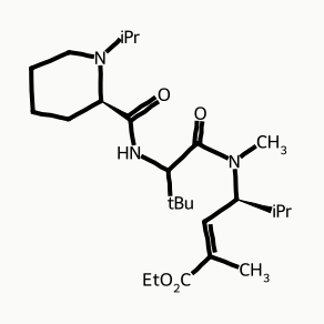 CCOC(=O)/C(C)=C/[C@H](C(C)C)N(C)C(=O)C(NC(=O)[C@H]1CCCCN1C(C)C)C(C)(C)C